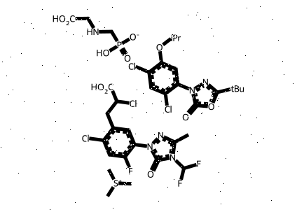 CC(C)Oc1cc(-n2nc(C(C)(C)C)oc2=O)c(Cl)cc1Cl.C[S+](C)C.Cc1nn(-c2cc(CC(Cl)C(=O)O)c(Cl)cc2F)c(=O)n1C(F)F.O=C(O)CNCP(=O)([O-])O